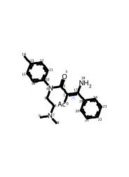 CC(=O)/C(C(=O)N(CCN(C)C)c1ccc(C)cc1)=C(/N)c1ccccc1